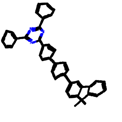 CC1(C)c2ccccc2-c2cc(-c3ccc(-c4ccc(-c5nc(-c6ccccc6)nc(-c6ccccc6)n5)cc4)cc3)ccc21